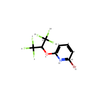 FC(F)(F)C(Oc1cc[c]c(Br)n1)C(F)(F)F